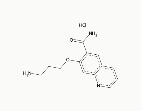 Cl.NCCCOc1cc2ncccc2cc1C(N)=O